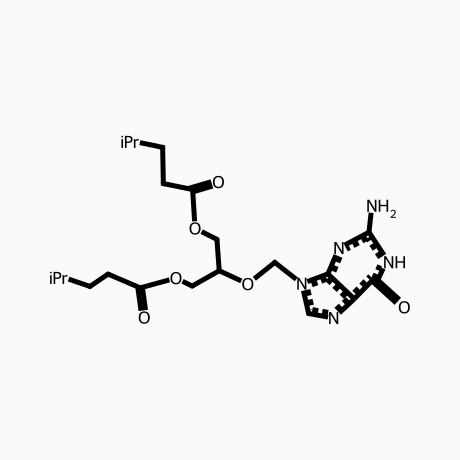 CC(C)CCC(=O)OCC(COC(=O)CCC(C)C)OCn1cnc2c(=O)[nH]c(N)nc21